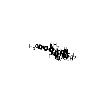 CCc1cc(Nc2ncc(Cl)c(Nc3ccc4nccnc4c3N(C)S(=O)(=O)C(C)C)n2)c(OC(F)(F)F)cc1N1CCC(N2CCN(C)CC2)CC1